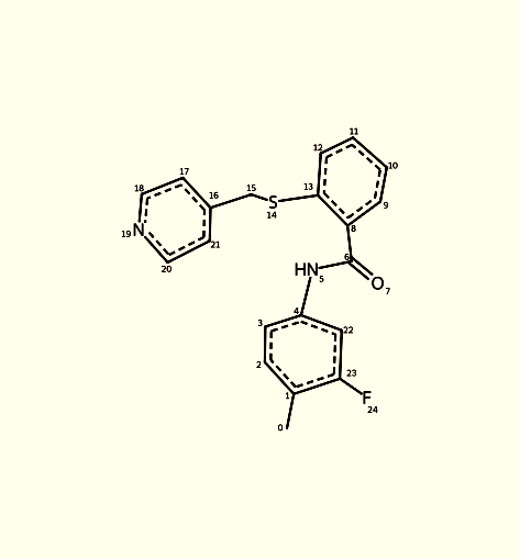 Cc1ccc(NC(=O)c2ccccc2SCc2ccncc2)cc1F